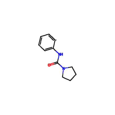 O=C(Nc1[c]cccc1)N1CCCC1